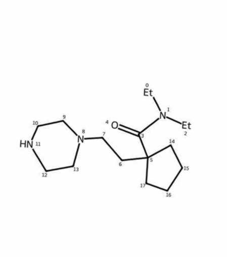 CCN(CC)C(=O)C1(CCN2CCNCC2)CCCC1